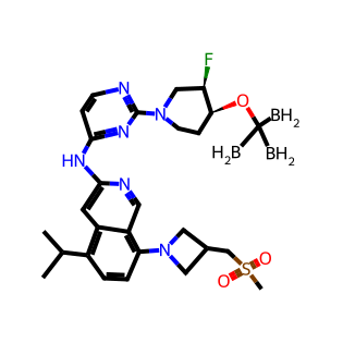 BC(B)(B)O[C@H]1CCN(c2nccc(Nc3cc4c(C(C)C)ccc(N5CC(CS(C)(=O)=O)C5)c4cn3)n2)C[C@H]1F